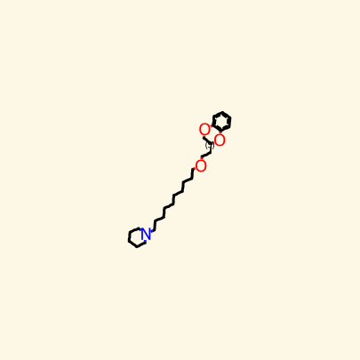 c1ccc2c(c1)OC[C@H](CCOCCCCCCCCCCN1CCCCC1)O2